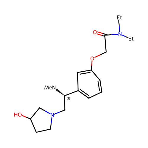 CCN(CC)C(=O)COc1cccc([C@@H](CN2CCC(O)C2)NC)c1